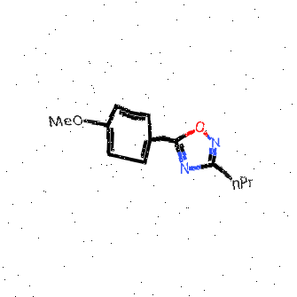 CCCc1noc(-c2ccc(OC)cc2)n1